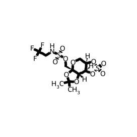 CC1(C)O[C@H]2[C@@H]3OS(=O)(=O)O[C@@H]3CO[C@@]2(COS(=O)(=O)NCC(F)(F)F)O1